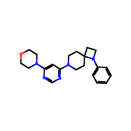 c1ccc(N2CCC23CCN(c2cc(N4CCOCC4)ncn2)CC3)cc1